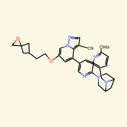 COc1ccc(CN2C3CC2CN(c2ccc(-c4cc(OCCC5CC6(CO6)C5)cn5ncc(C#N)c45)cn2)C3)cn1